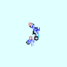 Cc1cn2c(N3CCOCC3)cnc2nc1-c1cc(NC(=O)N2CCCC2)ccc1F